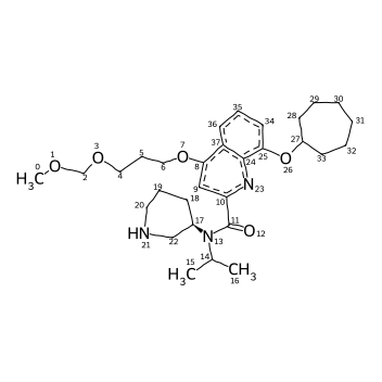 COCOCCCOc1cc(C(=O)N(C(C)C)[C@@H]2CCCNC2)nc2c(OC3CCCCCC3)cccc12